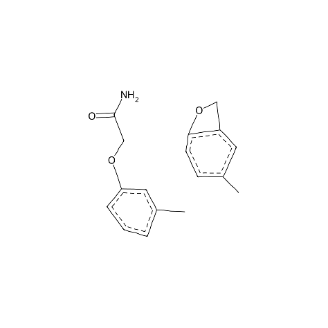 Cc1ccc2c(c1)CO2.Cc1cccc(OCC(N)=O)c1